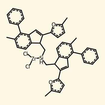 Cc1ccc(C2=Cc3c(ccc(C)c3-c3ccccc3)C2C[SiH](CC2C(c3ccc(C)o3)=Cc3c2ccc(C)c3-c2ccccc2)[Zr]([Cl])[Cl])o1